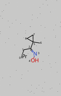 CC(C)CC(=NO)C1(C)CC1